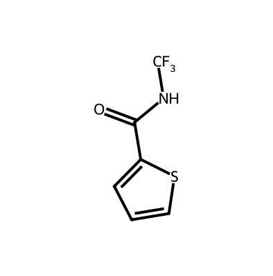 O=C(NC(F)(F)F)c1cccs1